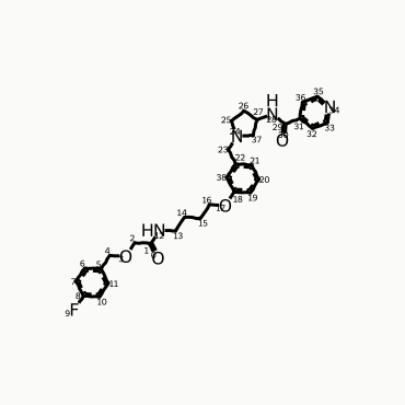 O=C(COCc1ccc(F)cc1)NCCCCOc1cccc(CN2CCC(NC(=O)c3ccncc3)C2)c1